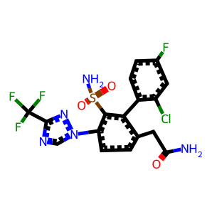 NC(=O)Cc1ccc(-n2cnc(C(F)(F)F)n2)c(S(N)(=O)=O)c1-c1ccc(F)cc1Cl